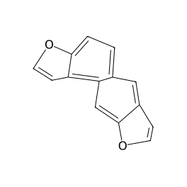 c1cc2cc3ccc4occc4c3cc2o1